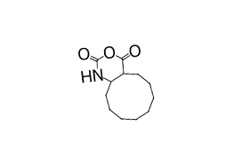 O=C1NC2CCCCCCCCC2C(=O)O1